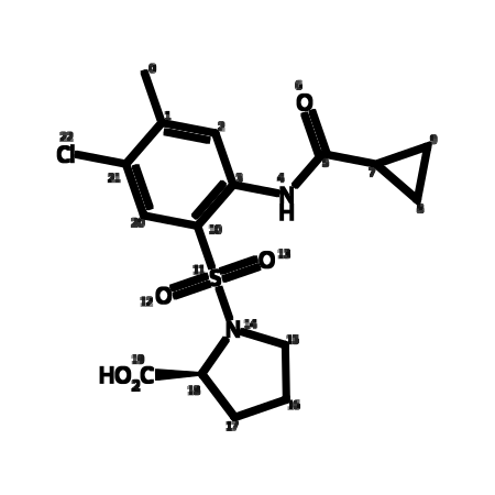 Cc1cc(NC(=O)C2CC2)c(S(=O)(=O)N2CCC[C@H]2C(=O)O)cc1Cl